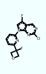 Fc1cn(-c2cccc(C3(F)COC3)n2)c2nc(Cl)ncc12